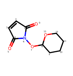 O=C1C=CC(=O)N1OC1CCCCO1